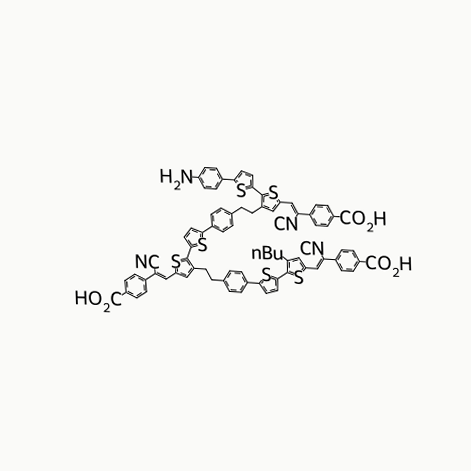 [C-]#[N+]/C(=C\c1cc(CCCC)c(-c2ccc(-c3ccc(CCc4cc(/C=C(\[N+]#[C-])c5ccc(C(=O)O)cc5)sc4-c4ccc(-c5ccc(CCc6cc(/C=C(\[N+]#[C-])c7ccc(C(=O)O)cc7)sc6-c6ccc(-c7ccc(N)cc7)s6)cc5)s4)cc3)s2)s1)c1ccc(C(=O)O)cc1